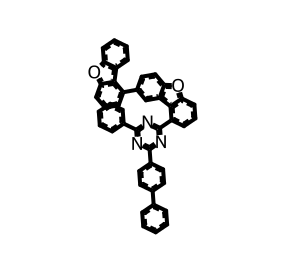 c1ccc(-c2ccc(-c3nc(-c4ccccc4)nc(-c4cccc5oc6ccc(-c7cccc8oc9ccccc9c78)cc6c45)n3)cc2)cc1